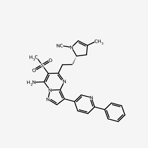 CC1=CN(C#N)[C@@H](CCc2nc3c(-c4ccc(-c5ccccc5)nc4)cnn3c(N)c2S(C)(=O)=O)C1